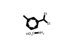 CCC(CC)c1cccc(C)c1.NC(=O)O